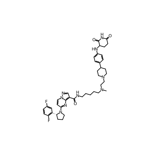 CN(CCCCCNC(=O)c1cnn2ccc(N3CCC[C@@H]3c3cc(F)ccc3F)nc12)CCN1CCC(c2ccc(NC3CCC(=O)NC3=O)cc2)CC1